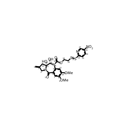 C=C1CN2C(=O)c3cc(OC)c(OC)cc3N(C(=O)OCCSSc3ccc([N+](=O)[O-])cn3)[C@@H](O)[C@]2(O)C1